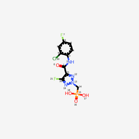 O=C(Nc1ccc(F)cc1Cl)c1nn(CP(=O)(O)O)nc1F